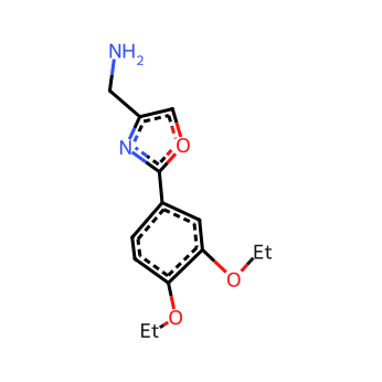 CCOc1ccc(-c2nc(CN)co2)cc1OCC